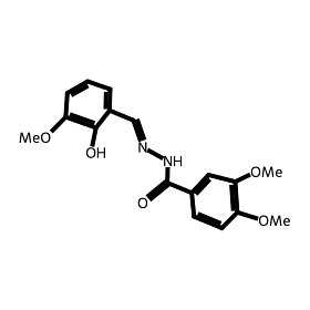 COc1ccc(C(=O)NN=Cc2cccc(OC)c2O)cc1OC